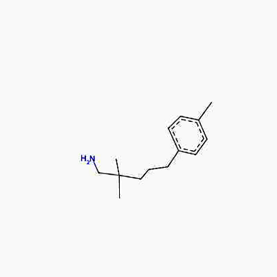 Cc1ccc(CCCC(C)(C)CN)cc1